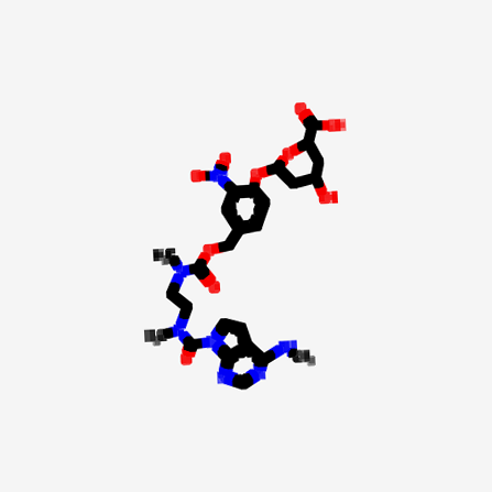 CNc1ncnc2c1ccn2C(=O)N(C)CCN(C)C(=O)OCc1ccc(OC2CC(O)CC(C(=O)O)O2)c([N+](=O)[O-])c1